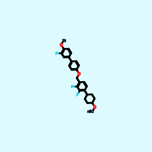 CCCCOC1CCC(c2ccc(COc3ccc(-c4ccc(OCC)c(F)c4)cc3)c(F)c2F)CC1